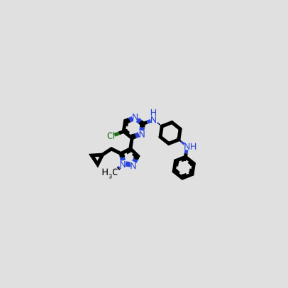 Cn1ncc(-c2nc(N[C@H]3CC[C@H](Nc4ccccc4)CC3)ncc2Cl)c1CC1CC1